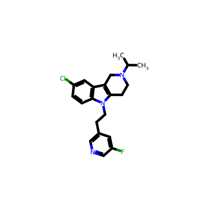 CC(C)N1CCc2c(c3cc(Cl)ccc3n2CCc2cncc(F)c2)C1